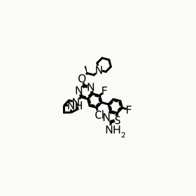 C[C@@H](CN1CCCCC1)Oc1nc(N2CC3CC(C2)N3)c2cc(Cl)c(-c3ccc(F)c4sc(N)nc34)c(F)c2n1